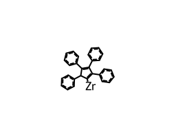 [Zr][C]1=C(c2ccccc2)C(c2ccccc2)=C(c2ccccc2)C1c1ccccc1